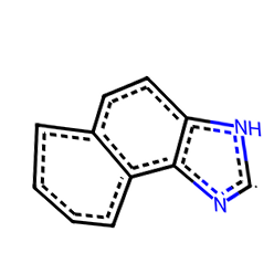 [c]1nc2c(ccc3ccccc32)[nH]1